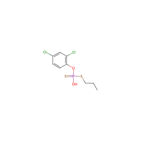 CCCSP(O)(=S)Oc1ccc(Cl)cc1Cl